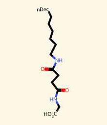 CCCCCCCCCCCCCCCCNC(=O)CCC(=O)NCC(=O)O